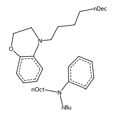 CCCCCCCCCCCCCCN1CCOc2ccccc21.CCCCCCCCN(CCCC)c1ccccc1